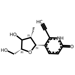 C#Cc1[nH]c(=O)ccc1[C@@H]1O[C@H](CO)C(O)[C@@H]1F